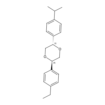 CCc1ccc([C@@H]2CO[C@@H](c3ccc(C(C)C)cc3)CO2)cc1